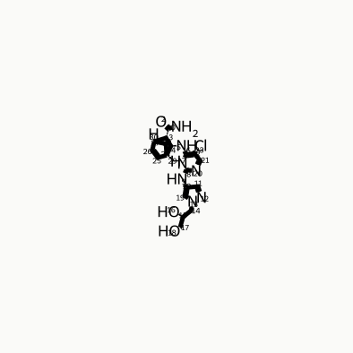 NC(=O)[C@@H]1[C@H](Nc2nc(Nc3cnn(C[C@@H](O)CO)c3)ncc2Cl)[C@H]2C=C[C@@H]1C2